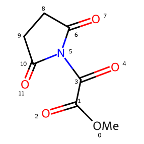 COC(=O)C(=O)N1C(=O)CCC1=O